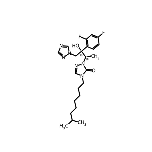 CC(C)CCCCCCn1cnn([C@H](C)[C@](O)(Cn2cncn2)c2ccc(F)cc2F)c1=O